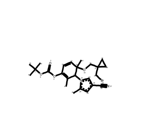 CC1=C(OC(=O)OC(C)(C)C)C=CC(C)(OCC2(CBr)CC2)C1n1cc(C#N)cc1C